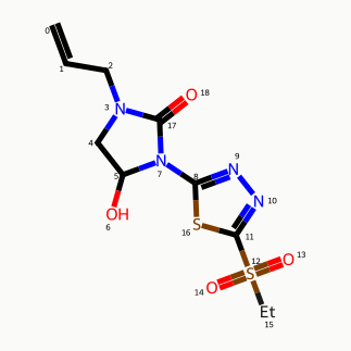 C=CCN1CC(O)N(c2nnc(S(=O)(=O)CC)s2)C1=O